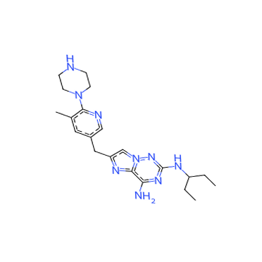 CCC(CC)Nc1nc(N)c2nc(Cc3cnc(N4CCNCC4)c(C)c3)cn2n1